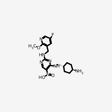 COc1ncc(F)cc1CNc1ncc([N+](=O)O)c(NC[C@H]2CC[C@H](N)CC2)n1